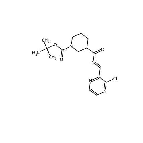 CC(C)(C)OC(=O)N1CCCC(C(=O)N=Cc2nccnc2Cl)C1